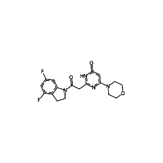 O=C(Cc1nc(N2CCOCC2)cc(=O)[nH]1)N1CCc2c(F)cc(F)cc21